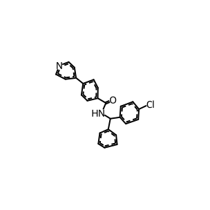 O=C(NC(c1ccccc1)c1ccc(Cl)cc1)c1ccc(-c2ccncc2)cc1